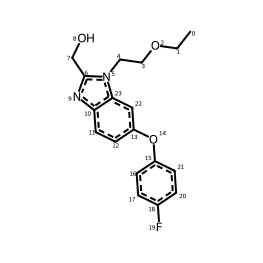 CCOCCn1c(CO)nc2ccc(Oc3ccc(F)cc3)cc21